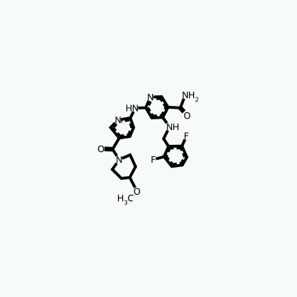 COC1CCN(C(=O)c2ccc(Nc3cc(NCc4c(F)cccc4F)c(C(N)=O)cn3)nc2)CC1